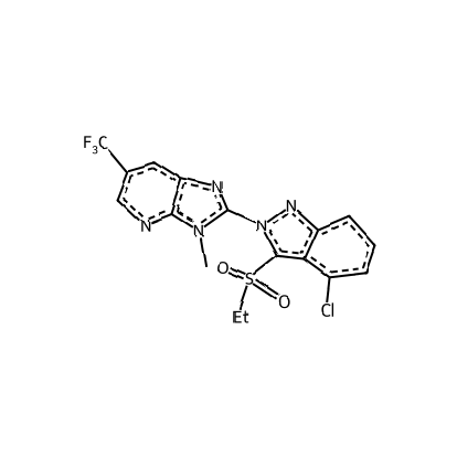 CCS(=O)(=O)c1c2c(Cl)cccc2nn1-c1nc2cc(C(F)(F)F)cnc2n1C